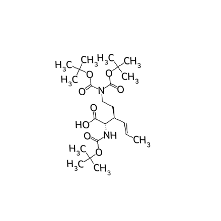 CC=C[C@H](CCN(C(=O)OC(C)(C)C)C(=O)OC(C)(C)C)[C@H](NC(=O)OC(C)(C)C)C(=O)O